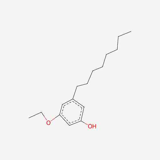 CCCCCCCCc1cc(O)cc(OCC)c1